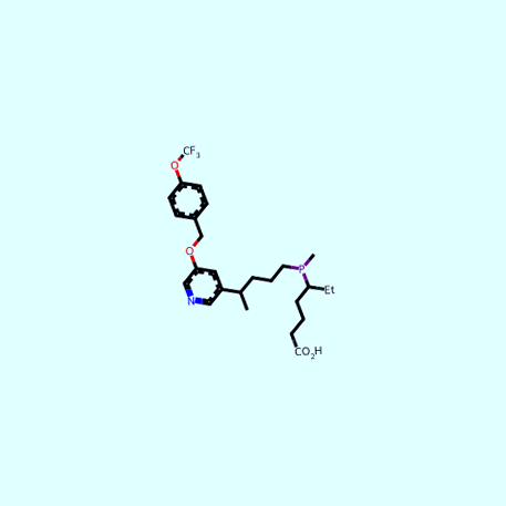 CCC(CCCC(=O)O)P(C)CCCC(C)c1cncc(OCc2ccc(OC(F)(F)F)cc2)c1